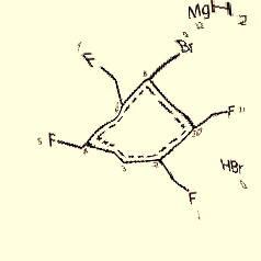 Br.Fc1cc(F)c(F)c(Br)c1F.[MgH2]